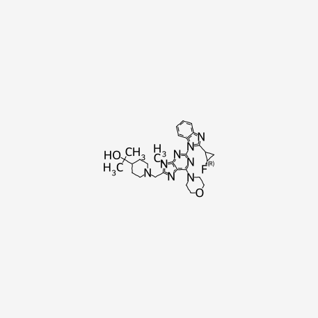 Cn1c(CN2CCC(C(C)(C)O)CC2)nc2c(N3CCOCC3)nc(-n3c(C4C[C@H]4F)nc4ccccc43)nc21